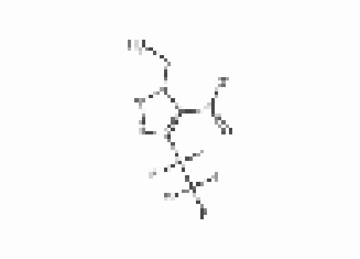 CCn1nnc(C(F)(F)C(F)(F)F)c1[N+](=O)[O-]